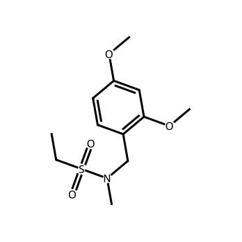 CCS(=O)(=O)N(C)Cc1ccc(OC)cc1OC